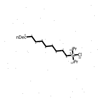 CCCCCCCCCCCCCCCCCC[Si](Cl)(C(C)C)C(C)C